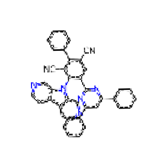 N#Cc1cc(-c2nc(-c3ccccc3)cc(-c3ccccc3)n2)c(-n2c3cnccc3c3ccncc32)c(C#N)c1-c1ccccc1